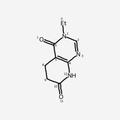 CCn1cnc2c(c1=O)CCC(=O)N2